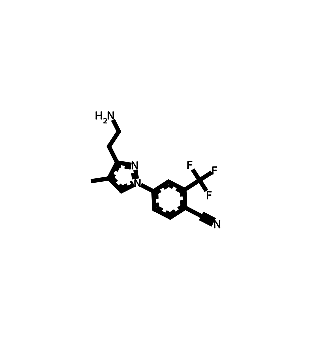 Cc1cn(-c2ccc(C#N)c(C(F)(F)F)c2)nc1CCN